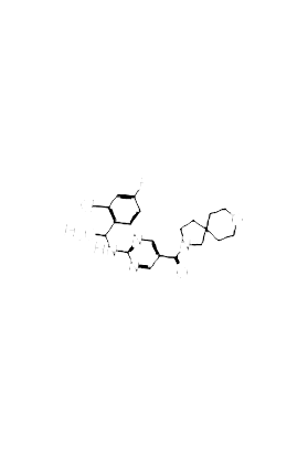 CC(Nc1ncc(C(=O)N2CCC3(CCOCC3)C2)cn1)c1ccc(F)cc1Cl